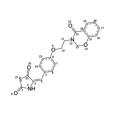 O=C1NC(=Cc2ccc(OCCN3COc4ccccc4C3=O)cc2)C(=O)S1